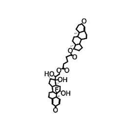 C[C@H]1CC2C3CCC4=CC(=O)C=C[C@]4(C)[C@@]3(F)[C@@H](O)C[C@]2(C)[C@@]1(O)C(O)COC(=O)CCCC(=O)O[C@H]1CCC2C3CCC4=CC(=O)CC[C@]4(C)C3CC[C@@]21C